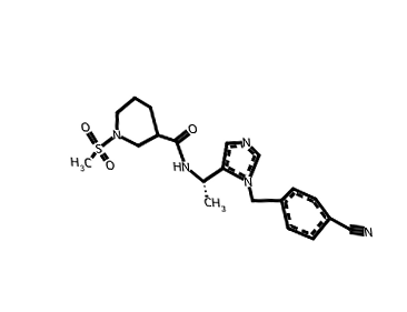 C[C@H](NC(=O)C1CCCN(S(C)(=O)=O)C1)c1cncn1Cc1ccc(C#N)cc1